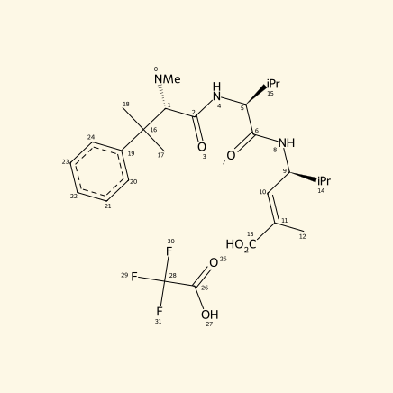 CN[C@H](C(=O)N[C@H](C(=O)N[C@H](/C=C(\C)C(=O)O)C(C)C)C(C)C)C(C)(C)c1ccccc1.O=C(O)C(F)(F)F